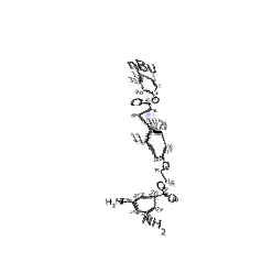 CCCCc1ccc(OC(=O)/C=C/c2ccc(OCCOC(=O)c3cc(N)cc(N)c3)cc2)cc1